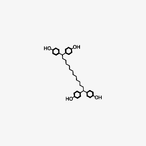 Oc1ccc(C(CCCCCCCCCCCCC(c2ccc(O)cc2)c2ccc(O)cc2)c2ccc(O)cc2)cc1